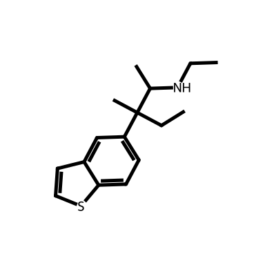 CCNC(C)C(C)(CC)c1ccc2sccc2c1